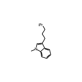 CC(C)CCCc1cn(C)c2ccccc12